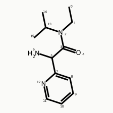 CCN(C(=O)C(N)c1ccccn1)C(C)C